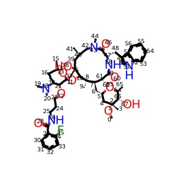 CO[C@]1(C)C[C@H](C[C@H]2[C@H](C)[C@@H](O[C@@H]3O[C@H](C)C[C@H](N(C)C)[C@H]3OCCCNC(=O)c3ccccc3F)[C@](C)(O)C[C@@H](C)CN(C)C(=O)[C@H](Cc3c[nH]c4ccccc34)NC(=O)[C@@H]2C)O[C@@H](C)[C@@H]1O